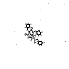 CN(C(=O)NCc1ccccc1)N1CC(=O)N2[C@@H](Cc3ccccc3)C(=O)N(Cc3ccccn3)C[C@@H]21